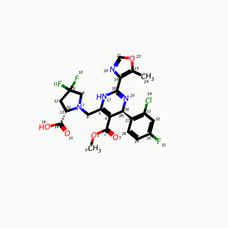 COC(=O)C1=C(CN2CC(F)(F)C[C@H]2C(=O)O)NC(c2ncoc2C)=N[C@H]1c1ccc(F)cc1Cl